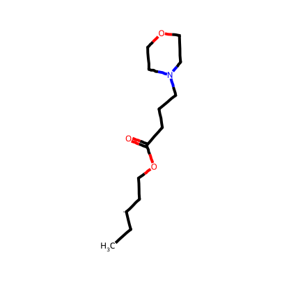 CC[CH]CCOC(=O)CCCN1CCOCC1